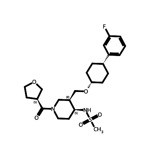 CS(=O)(=O)N[C@H]1CCN(C(=O)[C@H]2CCOC2)C[C@H]1CO[C@H]1CC[C@@H](c2cccc(F)c2)CC1